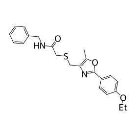 CCOc1ccc(-c2nc(CSCC(=O)NCc3ccccc3)c(C)o2)cc1